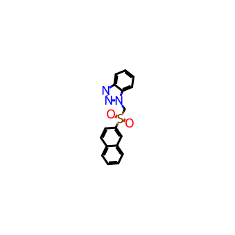 O=S(=O)(Cn1nnc2ccccc21)c1ccc2ccccc2c1